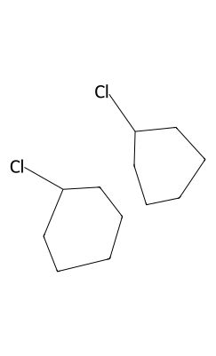 ClC1CCCCC1.ClC1CCCCC1